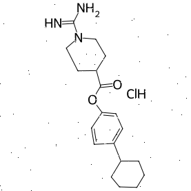 Cl.N=C(N)N1CCC(C(=O)Oc2ccc(C3CCCCC3)cc2)CC1